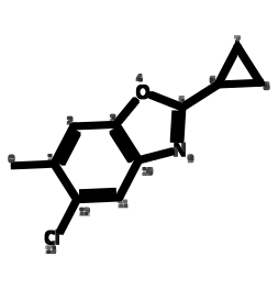 Cc1cc2oc(C3CC3)nc2cc1Cl